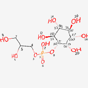 O=P(O)(OCC(O)CO)O[C@@H]1[C@@H](O)[C@H](O)[C@@H](O)[C@H](O)[C@@H]1O